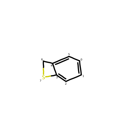 c1ccc2c(c1)CS2